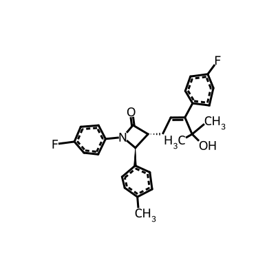 Cc1ccc([C@@H]2[C@@H](C/C=C(/c3ccc(F)cc3)C(C)(C)O)C(=O)N2c2ccc(F)cc2)cc1